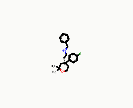 CC1(C)C[C@@](CCNCc2ccccc2)(c2ccc(F)cc2)CCO1